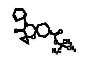 CC(C)(C)OC(=O)N1CCCC2(CC1)CN(c1ccccc1)C(=O)C1(CC1)O2